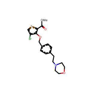 COC(=O)c1scc(Br)c1OCc1ccc(CCN2CCOCC2)cc1